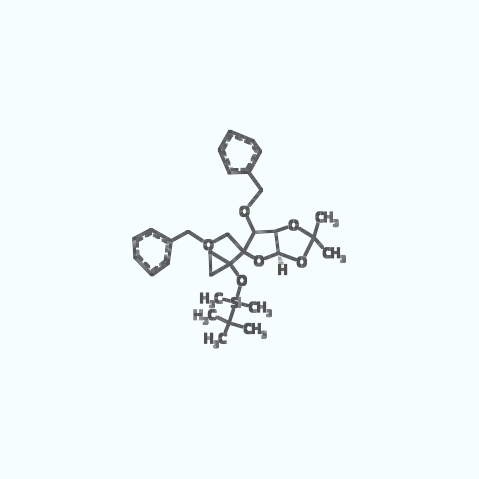 CC1(C)OC2C(OCc3ccccc3)C(COCc3ccccc3)(C3(O[Si](C)(C)C(C)(C)C)CC3)O[C@@H]2O1